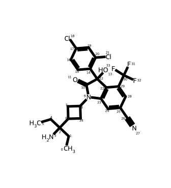 CCC(N)(CC)C1CC(N2C(=O)C(O)(c3ccc(Cl)cc3Cl)c3c2cc(C#N)cc3C(F)(F)F)C1